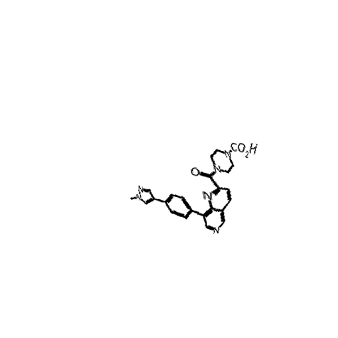 Cn1cc(-c2ccc(-c3cncc4ccc(C(=O)N5CCN(C(=O)O)CC5)nc34)cc2)cn1